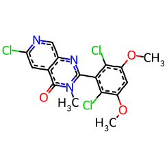 COc1cc(OC)c(Cl)c(-c2nc3cnc(Cl)cc3c(=O)n2C)c1Cl